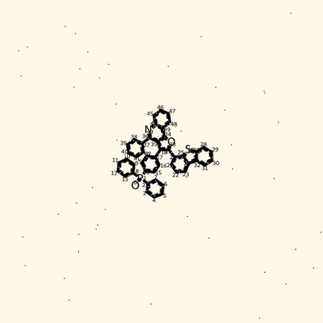 O=P(c1ccccc1)(c1ccccc1)c1ccc(-c2c(-c3cccc4c3sc3ccccc34)oc3c2c(-c2ccccc2)nc2ccccc23)cc1